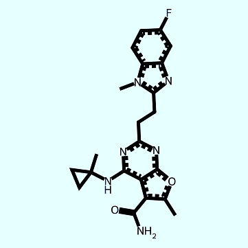 Cc1oc2nc(CCc3nc4cc(F)ccc4n3C)nc(NC3(C)CC3)c2c1C(N)=O